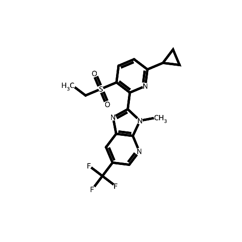 CCS(=O)(=O)c1ccc(C2CC2)nc1-c1nc2cc(C(F)(F)F)cnc2n1C